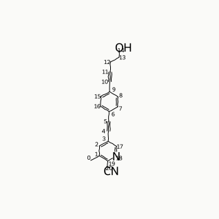 Cc1cc(C#Cc2ccc(C#CCCO)cc2)cnc1C#N